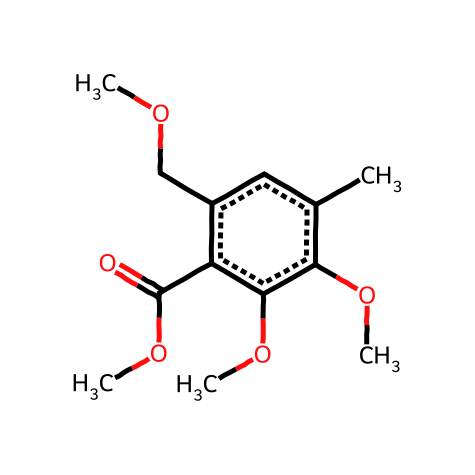 COCc1cc(C)c(OC)c(OC)c1C(=O)OC